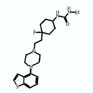 CCNC(=O)NC1CCC(F)(CCN2CCN(c3cccc4sccc34)CC2)CC1